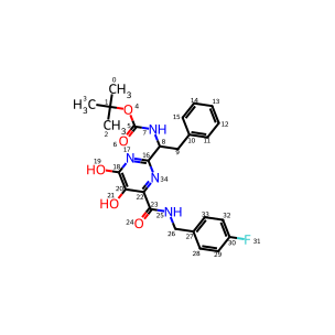 CC(C)(C)OC(=O)NC(Cc1ccccc1)c1nc(O)c(O)c(C(=O)NCc2ccc(F)cc2)n1